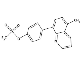 Cc1ccc(-c2ccc(OS(=O)(=O)C(F)(F)F)cc2)c2ncccc12